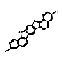 Clc1ccc2c(ccc3c4cc5c(cc4[nH]c23)[nH]c2c3ccc(Cl)cc3ccc52)c1